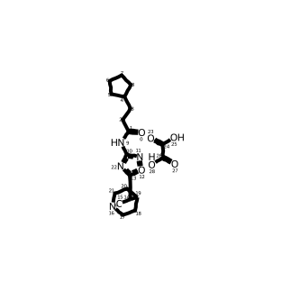 O=C(CCC1CCCC1)Nc1noc(C2CN3CCC2CC3)n1.O=C(O)C(=O)O